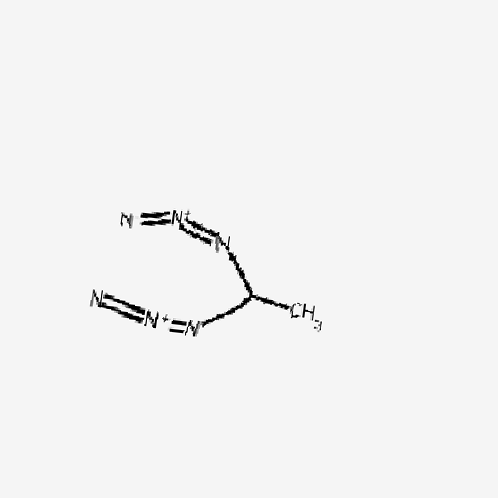 CC(N=[N+]=[N-])N=[N+]=[N-]